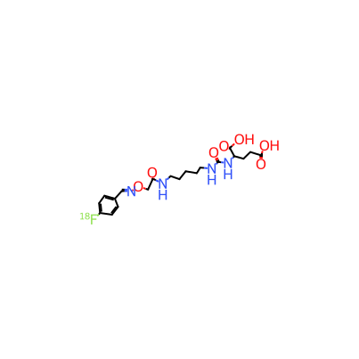 O=C(O)CCC(NC(=O)NCCCCCNC(=O)CON=Cc1ccc([18F])cc1)C(=O)O